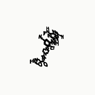 N#Cc1cc(Nc2nc(NC3CC3)c3ncc(C#N)n3n2)c(Cl)c(N2CCN(C3CN(C(=O)C4CNCCO4)C3)CC2)c1